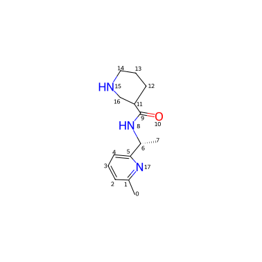 Cc1cccc([C@@H](C)NC(=O)C2CCCNC2)n1